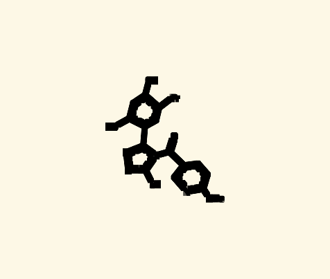 CNc1ccc(C(=O)n2c(S)nnc2-c2cc(C(C)C)c(O)cc2O)cn1